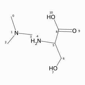 CN(C)C.NC(CO)C(=O)O